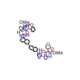 COC(=O)N[C@H](C(=O)N1CCC[C@H]1c1ncc(-c2ccc3cc(-c4ccc5c(ccc6nc([C@@H]7[C@H]8CC[C@H](C8)N7C(=O)[C@H](NC(=O)OC)c7ccccc7)[nH]c65)c4)ccc3c2)[nH]1)C1CCOCC1